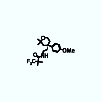 COc1ccc([C@]2(CCNC(=O)C(C)(C)C(F)(F)F)CCOC(C)(C)C2)cc1